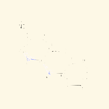 N#Cc1cnc2nc3ccccc3cc2c1